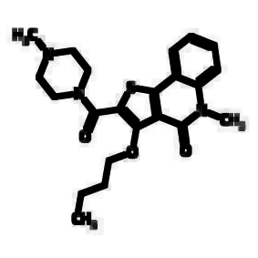 CCCCOc1c(C(=O)N2CCN(C)CC2)sc2c1c(=O)n(C)c1ccccc21